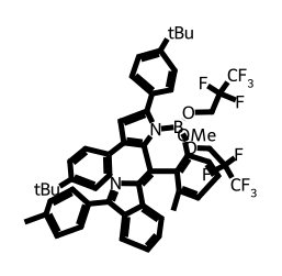 COc1cccc(C)c1/C(=C1/N=C(c2ccc(C)cc2)c2ccccc21)c1c(-c2ccc(C(C)(C)C)cc2)cc(-c2ccc(C(C)(C)C)cc2)n1B(OCC(F)(F)C(F)(F)F)OCC(F)(F)C(F)(F)F